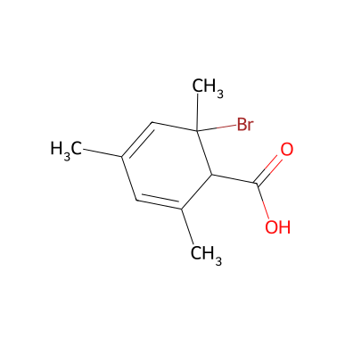 CC1=CC(C)(Br)C(C(=O)O)C(C)=C1